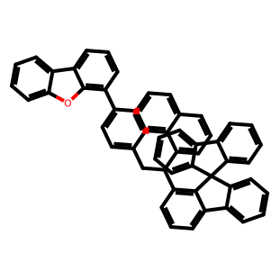 c1ccc2c(c1)-c1ccccc1C21c2ccccc2-c2cccc(C(Cc3ccc(-c4cccc5c4oc4ccccc45)cc3)c3cccc4ccccc34)c21